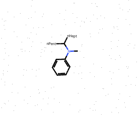 CCCCCCCC(CCCCC)N(C)c1ccccc1